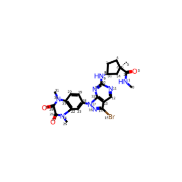 CNC(=O)[C@]1(C)CC[C@@H](Nc2ncc3c(Br)nn(-c4ccc5c(c4)n(C)c(=O)c(=O)n5C)c3n2)C1